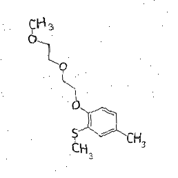 COCCOCCOc1ccc(C)cc1SC